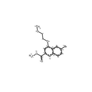 COCCOc1cc(C(=O)OC)nc2ccc(Br)cc12